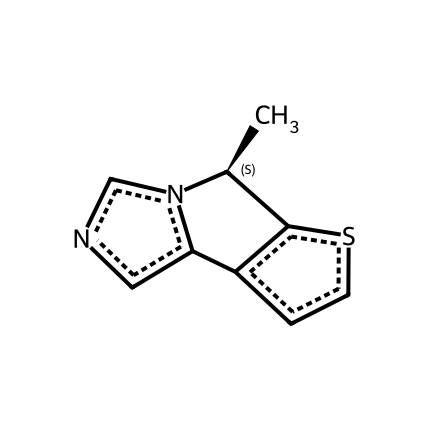 C[C@H]1c2sccc2-c2cncn21